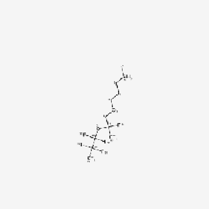 C[SiH2]CCCOCC(F)(OC(F)(F)C(F)(F)C(F)(F)F)C(F)(F)F